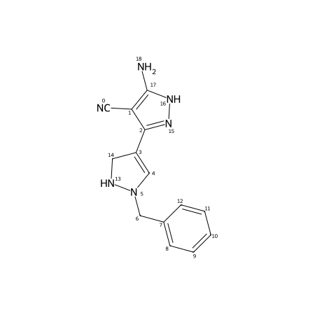 N#Cc1c(C2=CN(Cc3ccccc3)NC2)n[nH]c1N